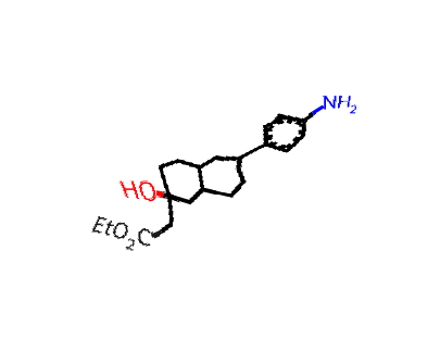 CCOC(=O)CC1(O)CCC2CC(c3ccc(N)cc3)CCC2C1